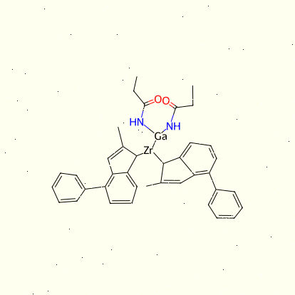 CCC(=O)[NH][Ga]([NH]C(=O)CC)[Zr]([CH]1C(C)=Cc2c(-c3ccccc3)cccc21)[CH]1C(C)=Cc2c(-c3ccccc3)cccc21